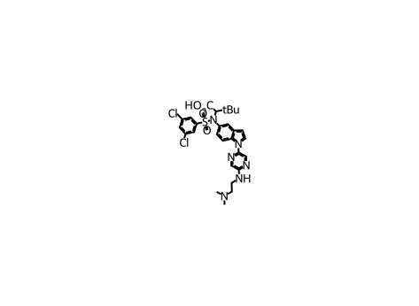 CN(C)CCNc1cnc(-n2ccc3cc(N(C(C(=O)O)C(C)(C)C)S(=O)(=O)c4cc(Cl)cc(Cl)c4)ccc32)cn1